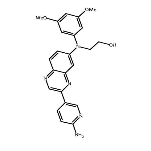 COc1cc(OC)cc(N(CCO)c2ccc3ncc(-c4ccc(N)nc4)nc3c2)c1